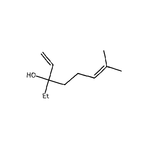 C=CC(O)(CC)CCC=C(C)C